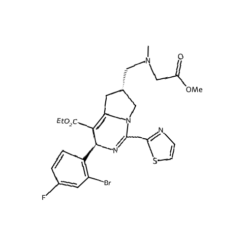 CCOC(=O)C1=C2C[C@H](CN(C)CC(=O)OC)CN2C(c2nccs2)=N[C@H]1c1ccc(F)cc1Br